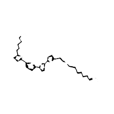 C=CCCCCCCCCCc1ccc(-c2ccc(-c3ccc(-c4ccc(CCCCCC)s4)s3)s2)s1